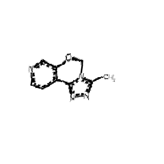 Cc1nnc2n1COc1cnccc1-2